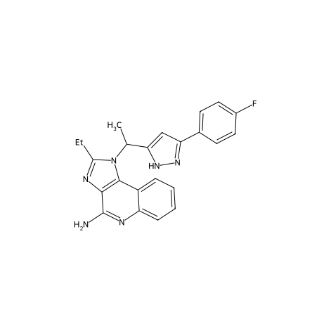 CCc1nc2c(N)nc3ccccc3c2n1C(C)c1cc(-c2ccc(F)cc2)n[nH]1